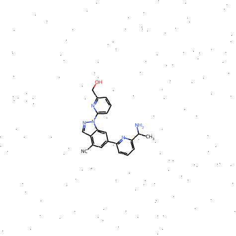 CC(N)c1cccc(-c2cc(C#N)c3cnn(-c4cccc(CO)n4)c3c2)n1